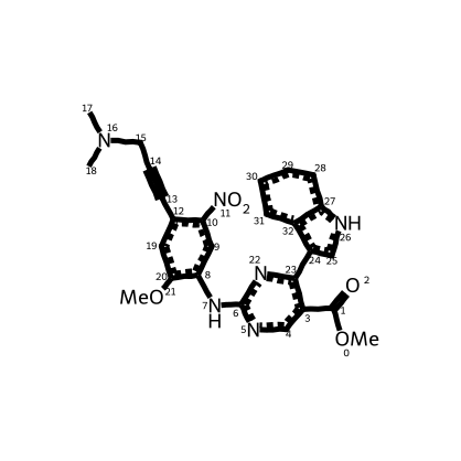 COC(=O)c1cnc(Nc2cc([N+](=O)[O-])c(C#CCN(C)C)cc2OC)nc1-c1c[nH]c2ccccc12